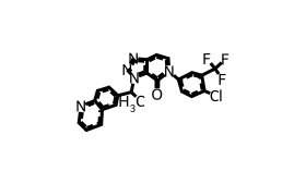 CC(c1ccc2ncccc2c1)n1nnc2ccn(-c3ccc(Cl)c(C(F)(F)F)c3)c(=O)c21